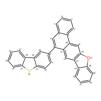 c1ccc2c(c1)cc(-c1ccc3sc4ccccc4c3c1)c1cc3c(cc12)oc1ccccc13